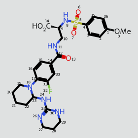 COc1ccc(S(=O)(=O)N[C@@H](CNC(=O)c2ccc(N3CCCCC3NC3=NCCCN3)c(F)c2)C(=O)O)cc1